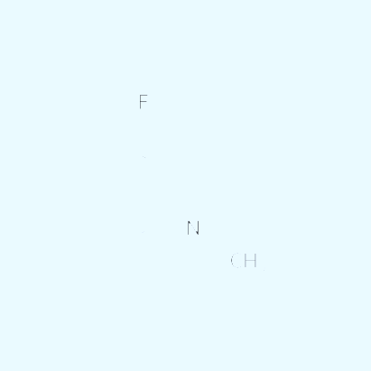 CN1CC2(F)CC1C2